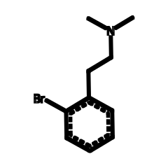 CN(C)CCc1ccccc1Br